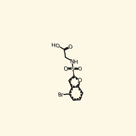 O=C(O)CNS(=O)(=O)c1cc2c(Br)cccc2o1